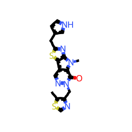 Cc1scnc1Cn1ncc2c3sc(Cc4cc[nH]c4)nc3n(C)c2c1=O